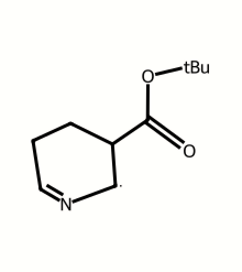 CC(C)(C)OC(=O)C1[CH]N=CCC1